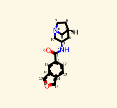 O=C(N[C@@H]1C[C@H]2CCN(C2)C1)c1ccc2cocc2c1